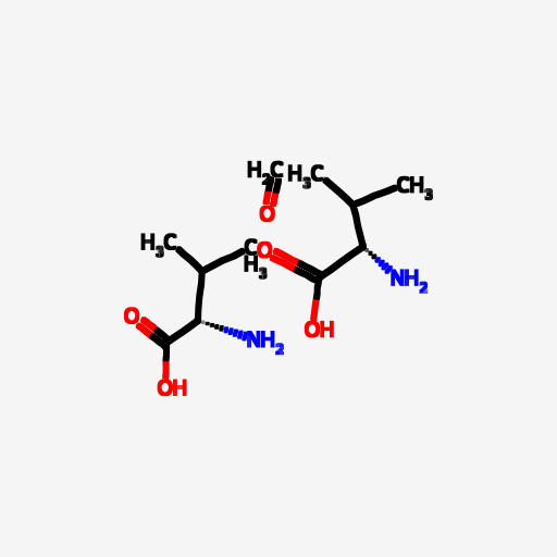 C=O.CC(C)[C@H](N)C(=O)O.CC(C)[C@H](N)C(=O)O